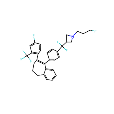 FCCCN1CC(C(F)(F)c2ccc(C3=C(c4ccc(F)cc4C(F)(F)F)CCCc4ccccc43)cc2)C1